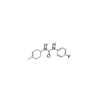 CC1=CCC(NC(=O)Nc2ccc(F)cc2)CC1